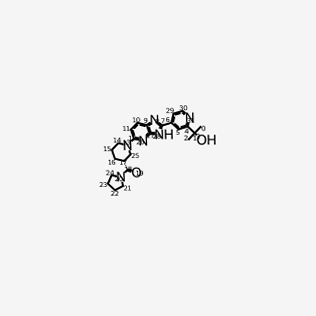 CC(C)(O)c1cc(-c2nc3ccc(N4CCC[C@@H](C(=O)N5CCCC5)C4)nc3[nH]2)ccn1